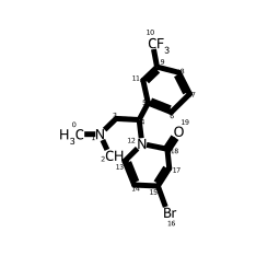 CN(C)CC(c1cccc(C(F)(F)F)c1)n1ccc(Br)cc1=O